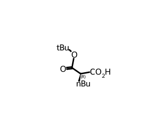 CCCC[C@H](C(=O)O)C(=O)OC(C)(C)C